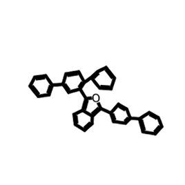 c1ccc(-c2ccc(-c3oc(-c4cc(-c5ccccc5)ccc4-c4ccccc4)c4ccccc34)cc2)cc1